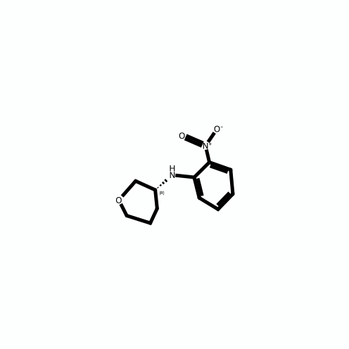 O=[N+]([O-])c1ccccc1N[C@@H]1CCCOC1